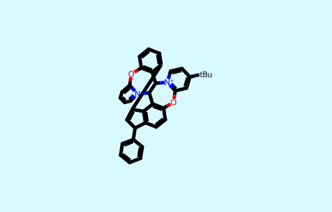 CC(C)(C)c1cc[n+]2c(c1)Oc1ccc3c4c1C1C2c2c(cccc2C4=CC3c2ccccc2)Oc2cccc[n+]21